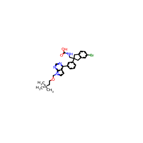 C[Si](C)(C)CCOCn1ccc2c(-c3cccc(C4(CNC(=O)O)Cc5ccc(Br)cc5C4)c3)ncnc21